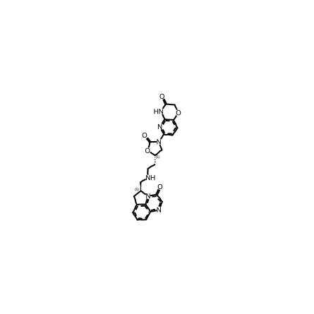 O=C1COc2ccc(N3C[C@H](CCNC[C@@H]4Cc5cccc6ncc(=O)n4c56)OC3=O)nc2N1